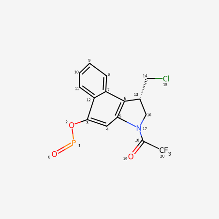 O=POc1cc2c(c3ccccc13)[C@H](CCl)CN2C(=O)C(F)(F)F